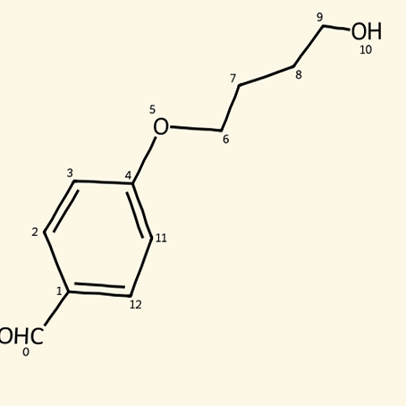 O=Cc1ccc(OCCCCO)cc1